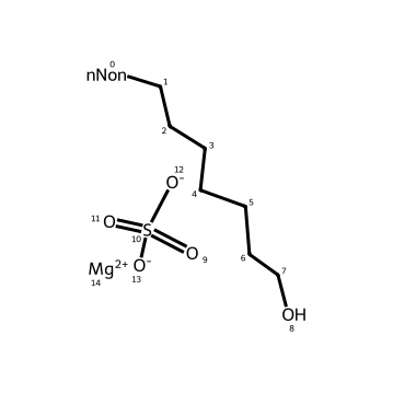 CCCCCCCCCCCCCCCCO.O=S(=O)([O-])[O-].[Mg+2]